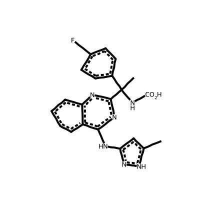 Cc1cc(Nc2nc(C(C)(NC(=O)O)c3ccc(F)cc3)nc3ccccc23)n[nH]1